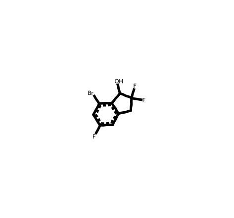 OC1c2c(Br)cc(F)cc2CC1(F)F